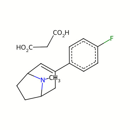 CN1C2C=C(c3ccc(F)cc3)CC1CC2.O=C(O)CC(=O)O